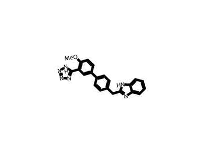 COc1ccc(-c2ccc(Cc3nc4ccccc4[nH]3)cc2)cc1-c1nnn[nH]1